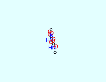 O=C(Oc1ccc(C(=O)NS(=O)(=O)c2ccc(C(=O)NCCc3ccccc3)cc2)cn1)OC1CCCC1